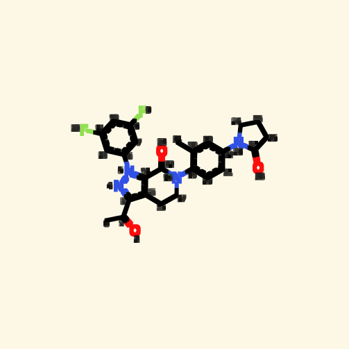 CC(=O)c1nn(-c2cc(F)cc(F)c2)c2c1CCN(c1ccc(N3CCCC3=O)cc1C)C2=O